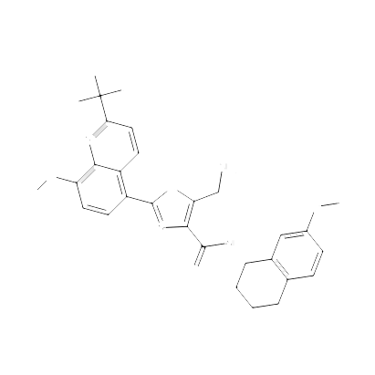 COc1ccc2c(c1)[C@@H](NC(=O)c1nc(-c3ccc(OC)c4nc(C(F)(F)F)ccc34)oc1CN)CCC2